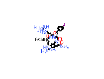 CC(=O)N[C@@H](CCCNC(=N)N)C(=O)N[C@@H](CCCNC(=N)N)C(=O)N[C@H](CCc1ccc(I)cc1)C(=O)N1Cc2ccccc2C[C@H]1C(N)=O